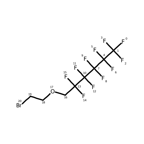 FC(F)(F)C(F)(F)C(F)(F)C(F)(F)C(F)(F)COCCBr